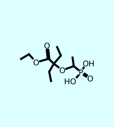 CCOC(=O)C(CC)(CC)OC(C)P(=O)(O)O